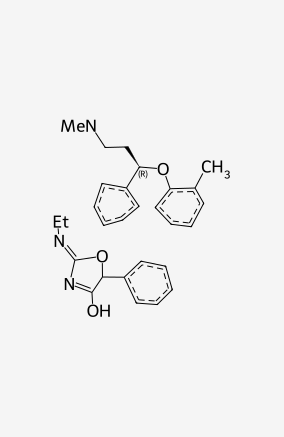 CCN=C1N=C(O)C(c2ccccc2)O1.CNCC[C@@H](Oc1ccccc1C)c1ccccc1